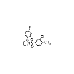 Cc1ccc(S(=O)(=O)N2CCC[C@H]2c2ccc(F)cc2)cc1Cl